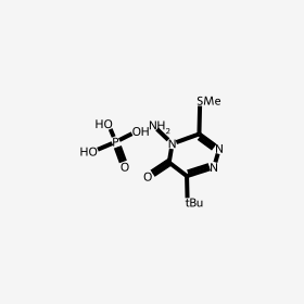 CSc1nnc(C(C)(C)C)c(=O)n1N.O=P(O)(O)O